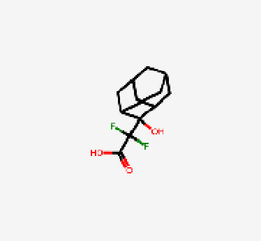 O=C(O)C(F)(F)C1(O)C2CC3CC(C2)CC1C3